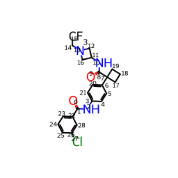 O=C(Nc1ccc(C2(C(=O)NC3CN(CC(F)(F)F)C3)CCC2)cc1)c1cccc(Cl)c1